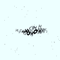 CCOC(=O)c1nccc2c(OC(=O)c3ccc(NC(=N)N)cc3)cccc12.Cl